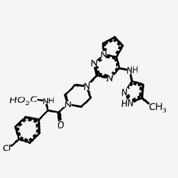 Cc1cc(Nc2nc(N3CCN(C(=O)C(NC(=O)O)c4ccc(Cl)cc4)CC3)nn3cccc23)n[nH]1